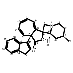 C[C@@H]1CCN2C[C@]3(OC(=O)[C@]4(C5=CCc6ccccc65)C=CC=CC=C43)[C@@H]2C1